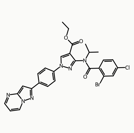 CCOC(=O)c1cn(-c2ccc(-c3cc4ncccn4n3)cc2)nc1N(C(=O)c1ccc(Cl)cc1Br)C(C)C